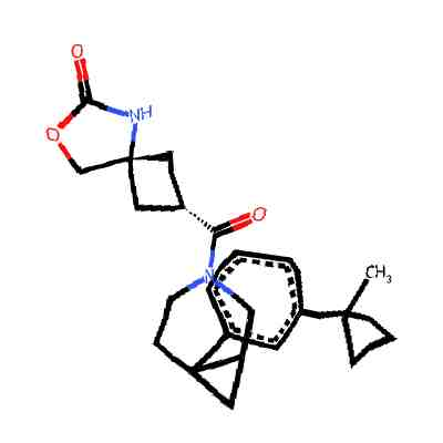 CC1(c2cccc(C34CCN(C(=O)[C@H]5C[C@]6(COC(=O)N6)C5)CC3C4)c2)CC1